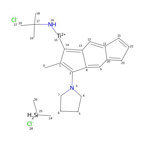 CC1=C(N2CCCC2)c2cc3c(cc2=[C]1[Ti+2][NH]C(C)(C)C)C=CC=3.C[SiH2]C.[Cl-].[Cl-]